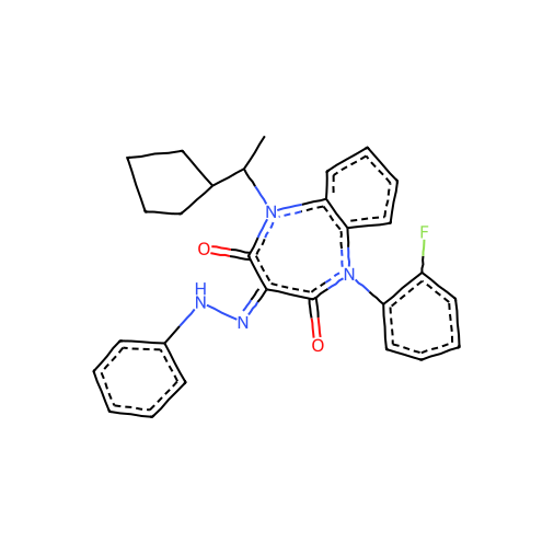 CC(C1CCCC1)n1c(=O)c(=NNc2ccccc2)c(=O)n(-c2ccccc2F)c2ccccc21